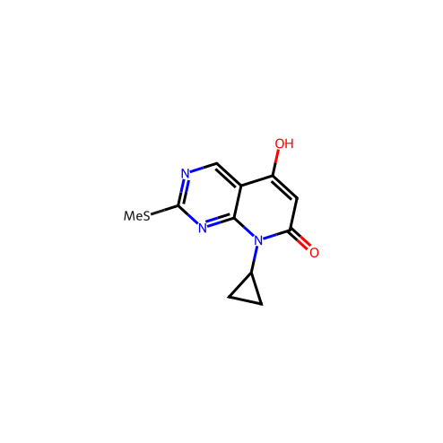 CSc1ncc2c(O)cc(=O)n(C3CC3)c2n1